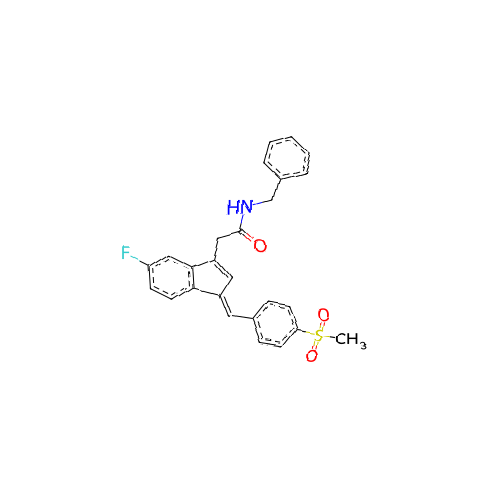 CS(=O)(=O)c1ccc(/C=C2\C=C(CC(=O)NCc3ccccc3)c3cc(F)ccc32)cc1